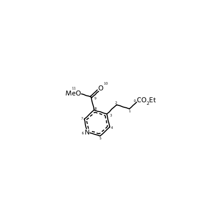 CCOC(=O)CCc1ccncc1C(=O)OC